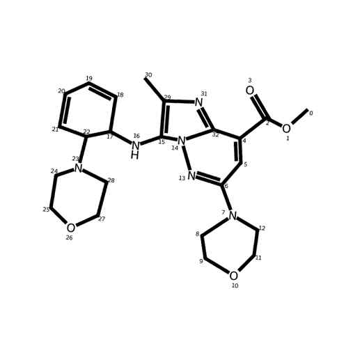 COC(=O)c1cc(N2CCOCC2)nn2c(NC3C=CC=CC3N3CCOCC3)c(C)nc12